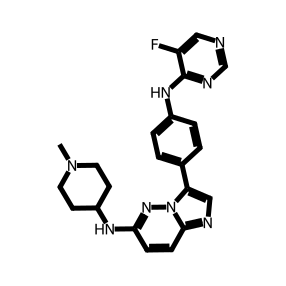 CN1CCC(Nc2ccc3ncc(-c4ccc(Nc5ncncc5F)cc4)n3n2)CC1